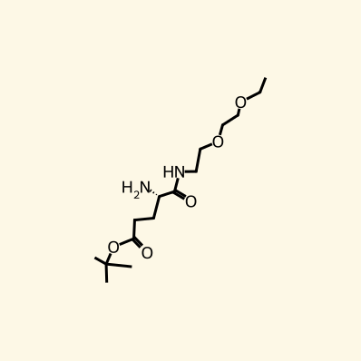 CCOCCOCCNC(=O)[C@@H](N)CCC(=O)OC(C)(C)C